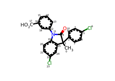 CC1(c2ccc(Cl)cc2)C(=O)N(c2cccc(C(=O)O)c2)c2ccc(Cl)cc21